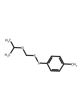 Cc1ccc(SSCOC(C)C)cc1